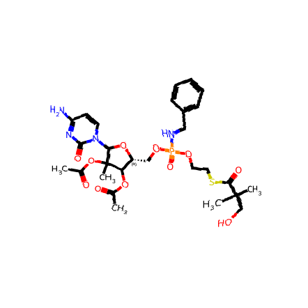 CC(=O)OC1[C@@H](COP(=O)(NCc2ccccc2)OCCSC(=O)C(C)(C)CO)OC(n2ccc(N)nc2=O)C1(C)OC(C)=O